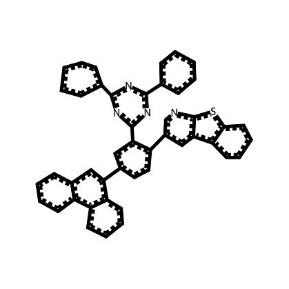 c1ccc(-c2nc(-c3ccccc3)nc(-c3cc(-c4cc5ccccc5c5ccccc45)ccc3-c3cnc4sc5ccccc5c4c3)n2)cc1